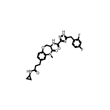 CN1C(=O)C(NC(=O)c2n[nH]c(Cc3ccc(F)cc3F)n2)COc2ccc(CCC(=O)NC3CC3)cc21